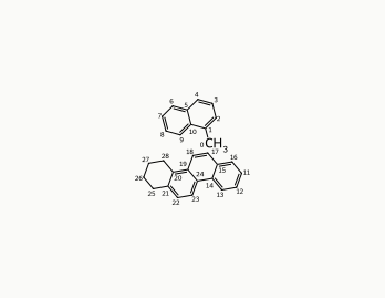 Cc1cccc2ccccc12.c1ccc2c(c1)ccc1c3c(ccc12)CCCC3